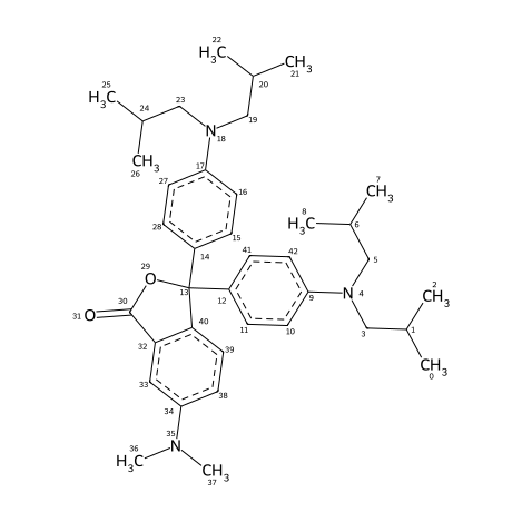 CC(C)CN(CC(C)C)c1ccc(C2(c3ccc(N(CC(C)C)CC(C)C)cc3)OC(=O)c3cc(N(C)C)ccc32)cc1